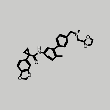 Cc1ccc(NC(=O)C2(c3ccc4c(c3)OCO4)CC2)cc1-c1ccc(CN(C)CC2OCCO2)cc1